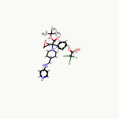 CC(C)(C)OC(=O)C(c1ccccc1)(C1CO1)N1CCC(CNc2ccncc2)CC1.O=C(O)C(F)(F)F